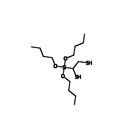 CCCCO[Si](OCCCC)(OCCCC)C(S)CS